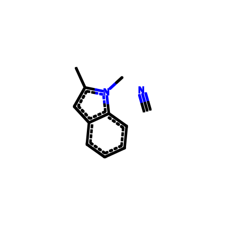 C#N.Cc1cc2ccccc2n1C